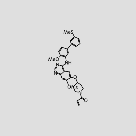 C=CC(=O)N1CCC(Oc2cc3c(Nc4cc(-c5cccc(SC)c5)ccc4OC)ncnc3cc2OC)CC1